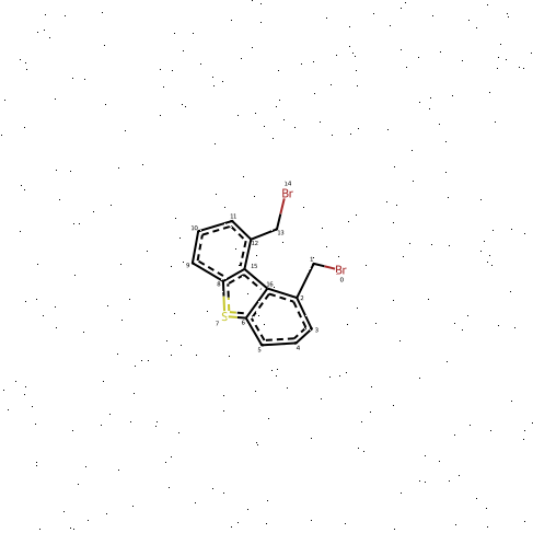 BrCc1cccc2sc3cccc(CBr)c3c12